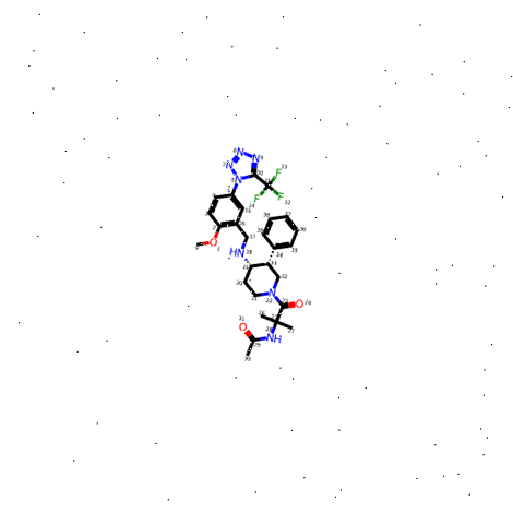 COc1ccc(-n2nnnc2C(F)(F)F)cc1CN[C@H]1CCN(C(=O)C(C)(C)NC(C)=O)C[C@H]1c1ccccc1